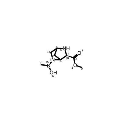 COC(=O)[C@@H]1NC2CC1N(B(C)O)C2